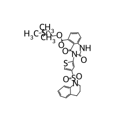 C[Si](C)(C)CCOC(=O)c1cccc2[nH]c(=O)n(-c3cc(S(=O)(=O)N4CCCc5ccccc54)cs3)c(=O)c12